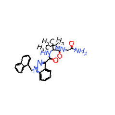 CC(C)(C)C(NC(=O)c1nn(Cc2cccc3ccccc23)c2ccccc12)C(=O)NCC(N)=O